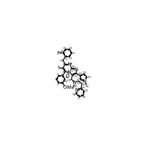 COc1cccc(C2=C(C)C(Cc3ccccc3F)=NC3=NC(c4ccn(C)c4)=C(CN(C)CCc4ccccn4)[N+]32[O-])c1